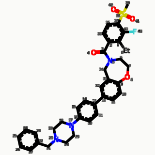 CCc1c(C(=O)N2CCOc3ccc(-c4ccc(N5CCN(Cc6ccccc6)CC5)cc4)cc3C2)ccc(S(C)(=O)=O)c1F